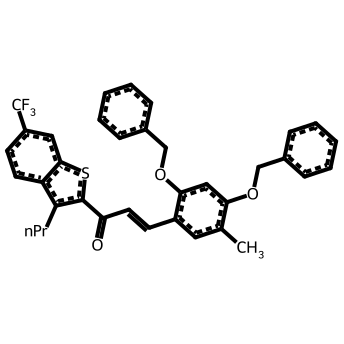 CCCc1c(C(=O)C=Cc2cc(C)c(OCc3ccccc3)cc2OCc2ccccc2)sc2cc(C(F)(F)F)ccc12